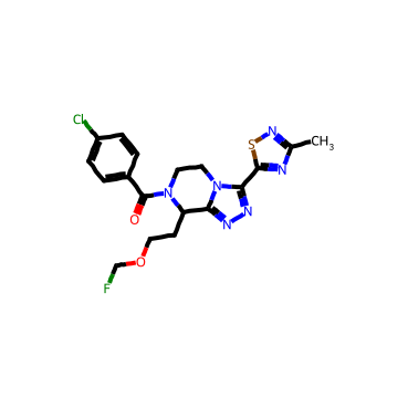 Cc1nsc(-c2nnc3n2CCN(C(=O)c2ccc(Cl)cc2)C3CCOCF)n1